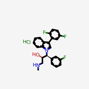 CNC[C@@H](O)[C@H](c1cccc(F)c1)n1cc(-c2cc(F)ccc2F)c2ccccc21.Cl